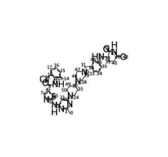 Cc1nc(Nc2ncc(C(=O)Nc3c(C)cccc3Cl)s2)cc(N2CCC(N3CCN(Cc4cccc(NC5CCC(=O)NC5=O)c4)CC3)CC2)n1